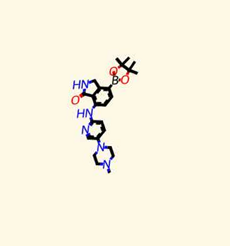 CN1CCN(c2ccc(Nc3ccc(B4OC(C)(C)C(C)(C)O4)c4c3C(=O)NC4)nc2)CC1